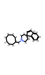 C1=CC2(CCN(CC3CCCCCCC3)CC2)c2ccccc21